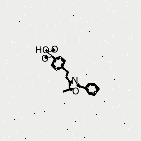 Cc1oc(-c2ccccc2)nc1CCc1ccc(S(=O)(=O)O)cc1